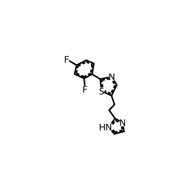 Fc1ccc(-c2ncc(CCc3ncc[nH]3)s2)c(F)c1